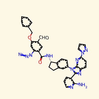 [N-]=[N+]=Nc1cc(OCc2ccccc2)c(C=O)cc1C(=O)N[C@H]1CCc2cc(-n3c(-c4cccnc4N)nc4ccc(-n5cccn5)nc43)ccc21